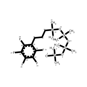 C[Si](C)(Cl)O[Si](C)(C)O[Si](C)(C)O[Si](C)(C)CCCc1c(F)c(F)c(F)c(F)c1F